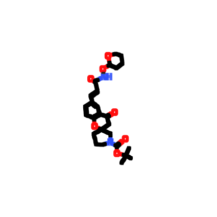 CC(C)(C)OC(=O)N1CCCC2(CC(=O)c3cc(C=CC(=O)NOC4CCCCO4)ccc3O2)C1